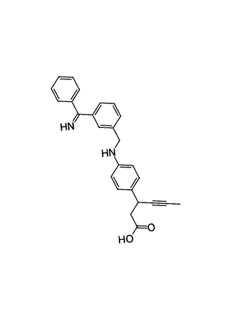 CC#CC(CC(=O)O)c1ccc(NCc2cccc(C(=N)c3ccccc3)c2)cc1